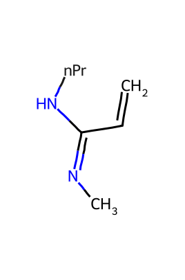 C=C/C(=N\C)NCCC